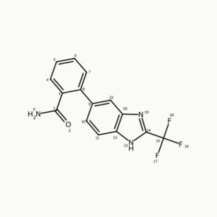 NC(=O)c1ccccc1-c1ccc2[nH]c(C(F)(F)F)nc2c1